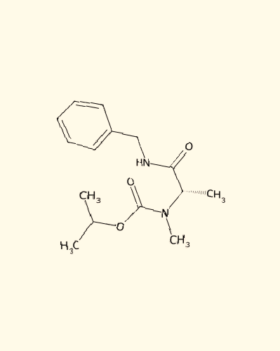 CC(C)OC(=O)N(C)[C@@H](C)C(=O)NCc1ccccc1